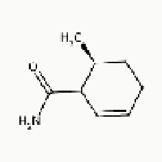 C[C@H]1CCC=CC1C(N)=O